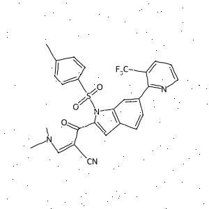 Cc1ccc(S(=O)(=O)n2c(C(=O)/C(C#N)=C\N(C)C)cc3ccc(-c4ncccc4C(F)(F)F)cc32)cc1